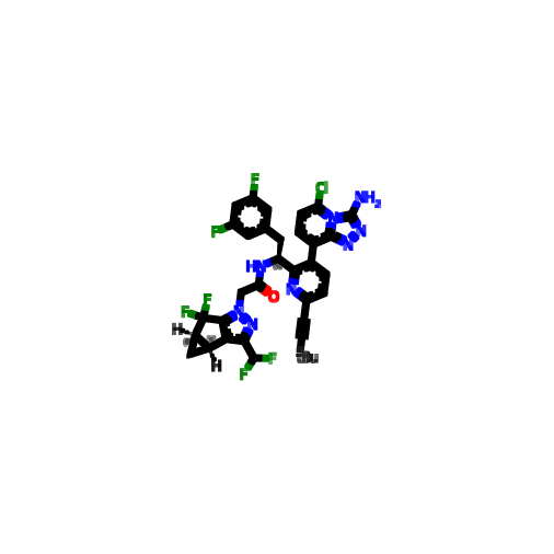 CC(C)(C)C#Cc1ccc(-c2ccc(Cl)n3c(N)nnc23)c([C@H](Cc2cc(F)cc(F)c2)NC(=O)Cn2nc(C(F)F)c3c2C(F)(F)[C@@H]2C[C@H]32)n1